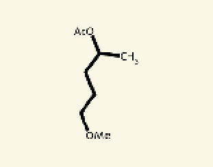 COCCCC(C)OC(C)=O